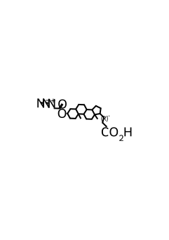 C[C@H](CCC(=O)O)C1CCC2C3CCC4CC(OC(=O)CN=[N+]=[N-])CCC4(C)C3CCC21C